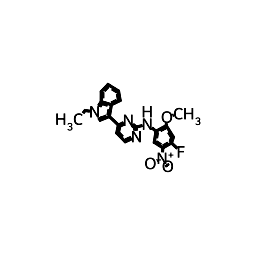 CCn1cc(-c2ccnc(Nc3cc([N+](=O)[O-])c(F)cc3OC)n2)c2ccccc21